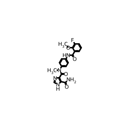 COc1c(F)cccc1C(=O)Nc1ccc(N(C)C(=O)c2nc[nH]c2C(N)=O)cc1